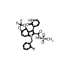 CS(=O)(=O)NC(=O)c1c(-c2ccc[nH]c2=O)c2c3c(ccc2n1Cc1ccccc1F)OC(F)(F)O3